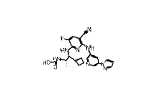 C[C@H](NC(=O)O)[C@@H](Nc1nc(Nc2cncc(-n3cccn3)c2)c(C#N)cc1F)C1CCC1